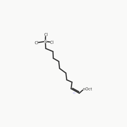 CCCCCCCC/C=C\CCCCCCCC[Si](Cl)(Cl)Cl